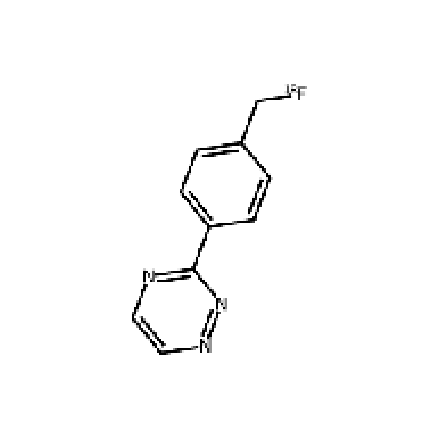 [18F]Cc1ccc(-c2nccnn2)cc1